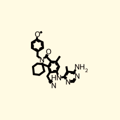 COc1ccc(CN2C(=O)c3c(C)cc(Nc4ncnc(N)c4C)c(CC#N)c3C23CCCCC3)cc1